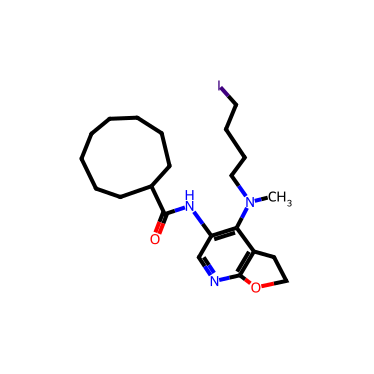 CN(CCCCI)c1c(NC(=O)C2CCCCCCCC2)cnc2c1CCO2